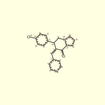 O=C1/C(=C\c2ccncc2)C(c2ccc(Cl)cc2)Cn2cccc21